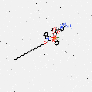 CCCCCCCCCCCCCCCCCCOC[C@H](COP(=O)(OC[C@H]1O[C@@](C)(c2ccc3c(N)ncnn23)[C@@H]2OC(C)(C)O[C@@H]21)Oc1ccccc1Cl)N1Cc2ccccc2C1